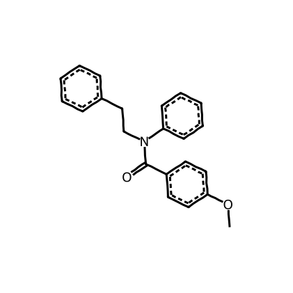 COc1ccc(C(=O)N(CCc2ccccc2)c2ccccc2)cc1